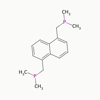 CP(C)Cc1cccc2c(CP(C)C)cccc12